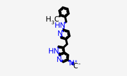 [C-]#[N+]c1cnc2[nH]cc(Cc3ccc(NCc4ccccc4C)nc3)c2c1